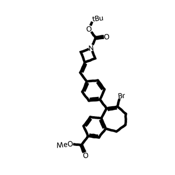 COC(=O)c1ccc2c(c1)CCCC(Br)=C2c1ccc(C=C2CN(C(=O)OC(C)(C)C)C2)cc1